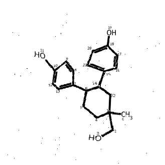 CC1(CO)CCC(c2ccc(O)cc2)C(c2ccc(O)cc2)C1